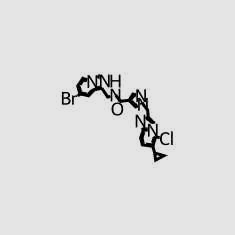 O=C(NCc1ncn2ccc(Br)cc12)c1cnn(Cc2cn3c(Cl)c(C4CC4)ccc3n2)c1